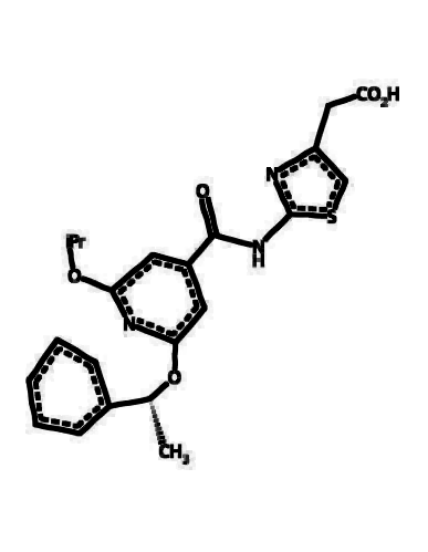 CC(C)Oc1cc(C(=O)Nc2nc(CC(=O)O)cs2)cc(O[C@H](C)c2ccccc2)n1